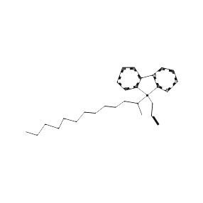 C=CCC1(C(C)CCCCCCCCCCC)c2ccccc2-c2ccccc21